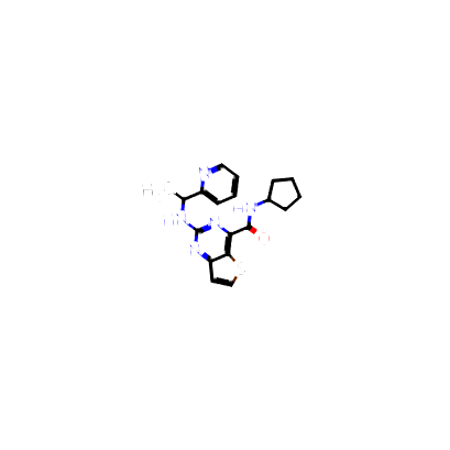 CC(Nc1nc(C(=O)NC2CCCC2)c2sccc2n1)c1ccccn1